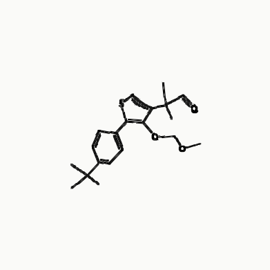 COCOc1c(C(C)(C)C=O)csc1-c1ccc(C(C)(C)C)cc1